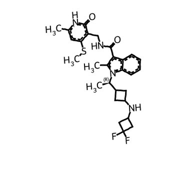 CSc1cc(C)[nH]c(=O)c1CNC(=O)c1c(C)n([C@H](C)C2CC(NC3CC(F)(F)C3)C2)c2ccccc12